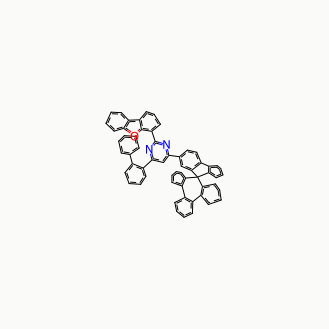 c1ccc(-c2ccccc2-c2cc(-c3ccc4c(c3)C3(c5ccccc5-c5ccccc5-c5ccccc53)c3ccccc3-4)nc(-c3cccc4c3oc3ccccc34)n2)cc1